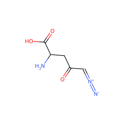 [N-]=[N+]=CC(=O)CC(N)C(=O)O